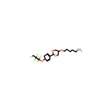 CCCCCCOC1COC(C2=CCC(OC(F)(F)C(F)(F)CF)C=C2)OC1